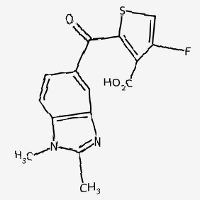 Cc1nc2cc(C(=O)c3scc(F)c3C(=O)O)ccc2n1C